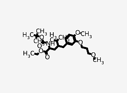 CCOC(=O)C(CC(Cc1ccc(OC)c(OCCCOC)c1)C(C)C)NC(=O)OC(C)(C)C